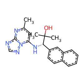 Cc1cc(N[C@@H](c2ccc3ccccc3c2)C(C)(C)O)n2ncnc2n1